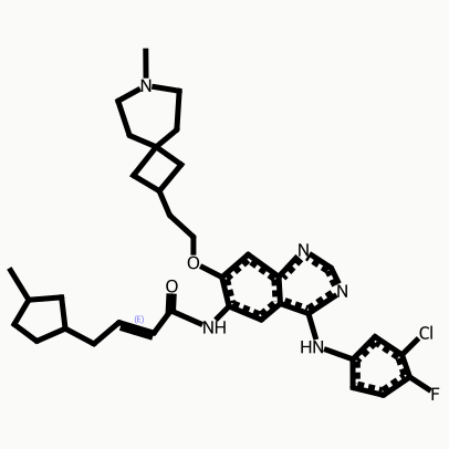 CC1CCC(C/C=C/C(=O)Nc2cc3c(Nc4ccc(F)c(Cl)c4)ncnc3cc2OCCC2CC3(CCN(C)CC3)C2)C1